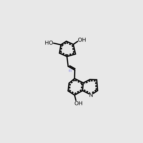 Oc1cc(O)cc(/C=C/c2ccc(O)c3ncccc23)c1